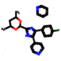 CC1CC(C)OC(c2nc(-c3ccc(F)cc3)c(-c3ccncc3)[nH]2)O1.c1ccncc1